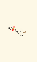 Cc1c(Br)cccc1C=CCCS(C)(=O)=O